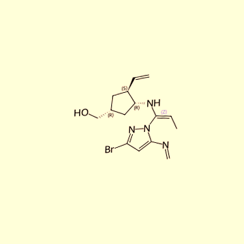 C=C[C@@H]1C[C@@H](CO)C[C@H]1N/C(=C/C)n1nc(Br)cc1N=C